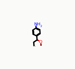 [CH2]CC(OC)c1ccc(N)cc1